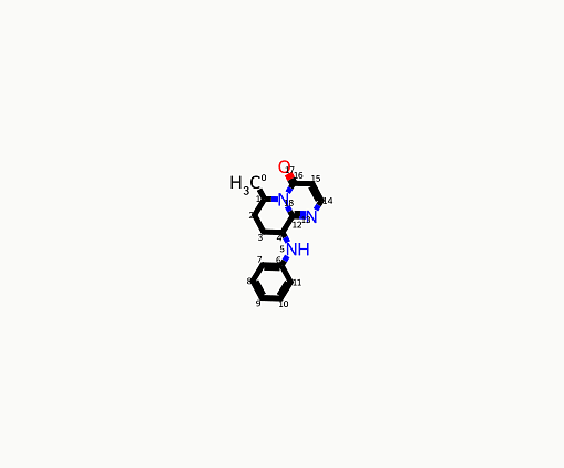 CC1CCC(Nc2ccccc2)c2nccc(=O)n21